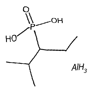 CCC(C(C)C)P(=O)(O)O.[AlH3]